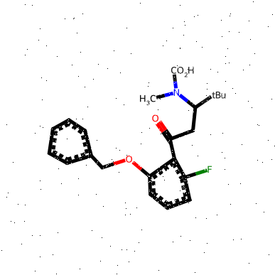 CN(C(=O)O)C(CC(=O)c1c(F)cccc1OCc1ccccc1)C(C)(C)C